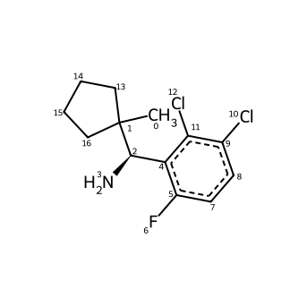 CC1([C@H](N)c2c(F)ccc(Cl)c2Cl)CCCC1